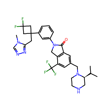 CC(C)[C@H]1CNCCN1Cc1cc2c(c(C(F)(F)F)c1)CN(c1cccc(C3(Cc4nncn4C)CC(F)(F)C3)c1)C2=O